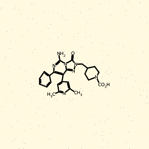 Cc1cc(-c2c(-c3ccccc3)nc(N)n3c(=O)n(CC4CCN(C(=O)O)CC4)nc23)cc(C)n1